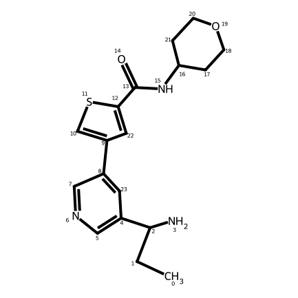 CCC(N)c1cncc(-c2csc(C(=O)NC3CCOCC3)c2)c1